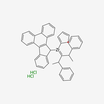 CC([C](C(C)c1ccccc1)=[Zr]([C]1=CC=CC1)[CH]1c2ccccc2-c2c1c1ccccc1c1ccccc21)c1ccccc1.Cl.Cl